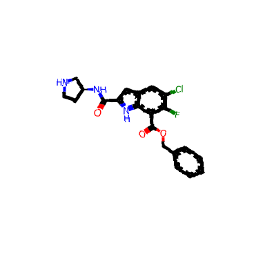 O=C(N[C@H]1CCNC1)c1cc2cc(Cl)c(F)c(C(=O)OCc3ccccc3)c2[nH]1